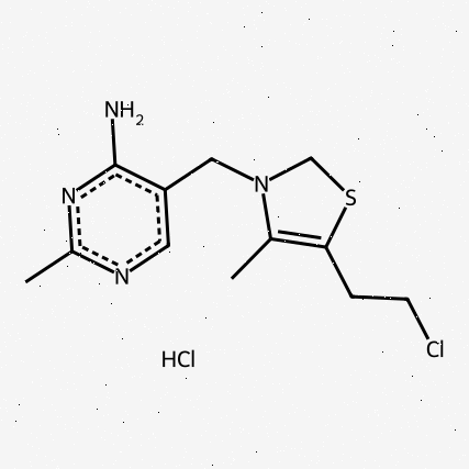 CC1=C(CCCl)SCN1Cc1cnc(C)nc1N.Cl